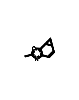 Cc1nc2c(o1)C1CC1C=C2